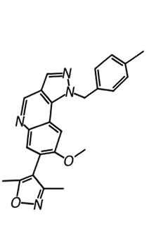 COc1cc2c(cc1-c1c(C)noc1C)ncc1cnn(Cc3ccc(C)cc3)c12